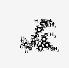 COc1ccc(C(OC[C@H]2O[C@@H](n3cc(C)c(=O)[nH]c3=O)C[C@@H]2OC(=O)OCc2ccc(B3OC(C)(C)C(C)(C)O3)cc2)(c2ccccc2)c2ccc(OC)cc2)cc1